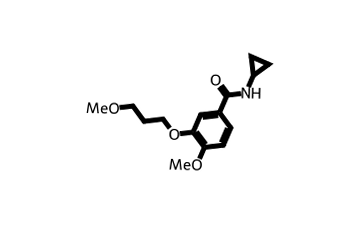 COCCCOc1cc(C(=O)NC2CC2)ccc1OC